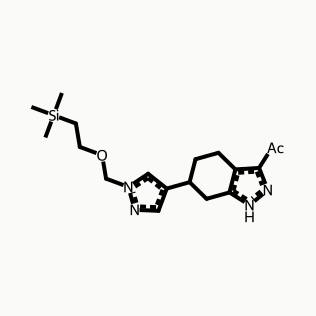 CC(=O)c1n[nH]c2c1CCC(c1cnn(COCC[Si](C)(C)C)c1)C2